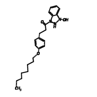 CCCCCCCCOc1ccc(CCC(=O)N2NN(O)c3ccccc32)cc1